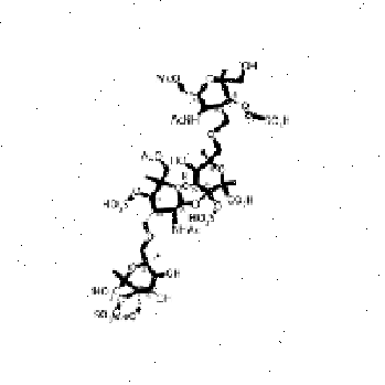 COC[C@@H]1OC(C)(CO)[C@H](OOS(=O)(=O)O)[C@@H](COC[C@]2(C)OC(C)(C(=O)O)[C@](O[C@@H]3OC(C)(COC(C)=O)[C@H](OS(=O)(=O)O)[C@@H](COC[C@]4(C)OC(C)(C(=O)O)[C@](COC)(OS(=O)(=O)O)[C@@H](O)C4O)C3NC(C)=O)(OS(=O)(=O)O)[C@@H](O)C2O)C1NC(C)=O